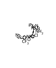 CC(C)n1nc(C#Cc2cc(C(=O)Nc3ccc(CN4CCN(C)CC4)c(C(F)(F)F)c3)ccc2Cl)c2c(N)ncnc21